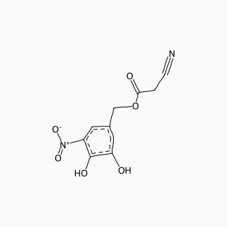 N#CCC(=O)OCc1cc(O)c(O)c([N+](=O)[O-])c1